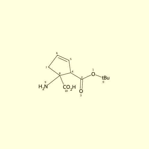 CC(C)(C)OC(=O)C1C=CCC1(N)C(=O)O